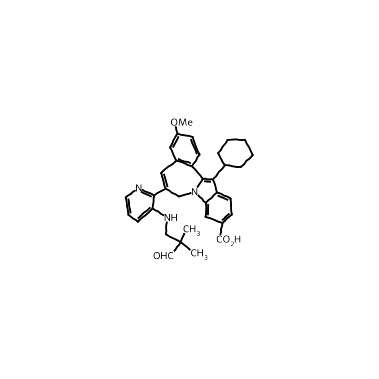 COc1ccc2c(c1)C=C(c1ncccc1NCC(C)(C)C=O)Cn1c-2c(C2CCCCC2)c2ccc(C(=O)O)cc21